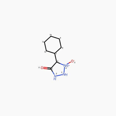 O=C1NN[NH+]([O-])C1C1CCCCC1